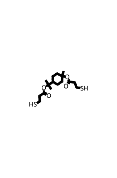 CC1(OC(=O)CCS)CCC(C(C)(C)OC(=O)CCS)CC1